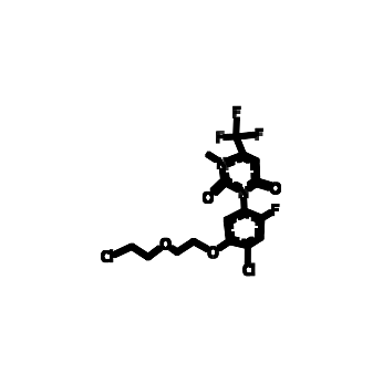 Cn1c(C(F)(F)F)cc(=O)n(-c2cc(OCCOCCCl)c(Cl)cc2F)c1=O